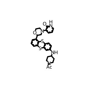 CC(=O)N1CCC(Nc2ccc3c(c2)Sc2cccc(C4CN(c5ccc[nH]c5=O)CCO4)c2S3)CC1